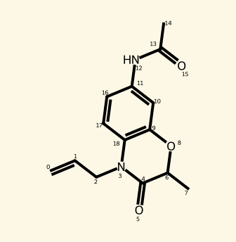 C=CCN1C(=O)C(C)Oc2cc(NC(C)=O)ccc21